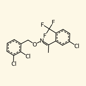 C/C(=N\OCc1cccc(Cl)c1Cl)c1cc(Cl)ccc1C(F)(F)F